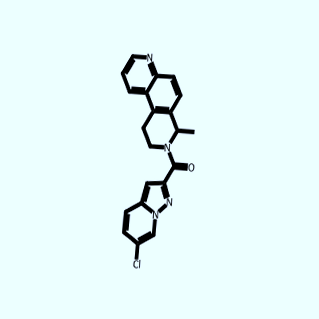 CC1c2ccc3ncccc3c2CCN1C(=O)c1cc2ccc(Cl)cn2n1